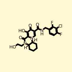 O=C(NCc1ccc(F)c(Cl)c1F)c1cn2c(c(O)c1=O)C(=O)N(CCO)[C@H]1CCCC[C@@H]12